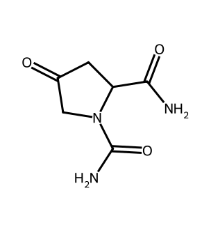 NC(=O)C1CC(=O)CN1C(N)=O